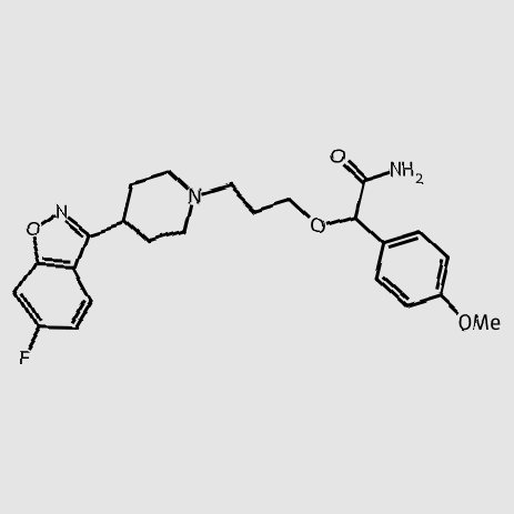 COc1ccc(C(OCCCN2CCC(c3noc4cc(F)ccc34)CC2)C(N)=O)cc1